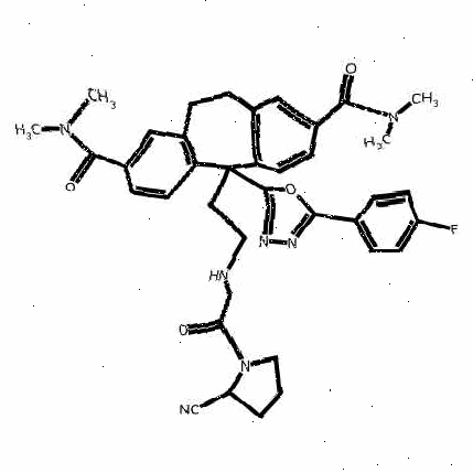 CN(C)C(=O)c1ccc2c(c1)CCc1cc(C(=O)N(C)C)ccc1C2(CCNCC(=O)N1CCCC1C#N)c1nnc(-c2ccc(F)cc2)o1